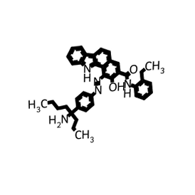 CCCCC(N)(CCC)c1ccc(N=Nc2c(O)c(C(=O)Nc3ccccc3CC)cc3ccc4c5ccccc5[nH]c4c23)cc1